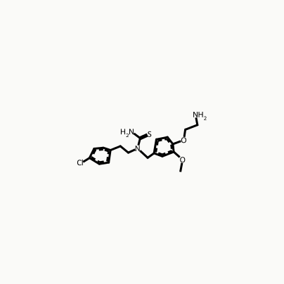 COc1cc(CN(CCc2ccc(Cl)cc2)C(N)=S)ccc1OCCN